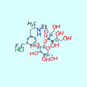 CCNC(C)Cc1cccc(C(F)(F)F)c1.Cl.OC[C@@H](O)[C@@H](O[C@H]1O[C@H](CO)[C@@H](O)[C@H](O)[C@H]1O)[C@H](O)[C@@H](O)CO